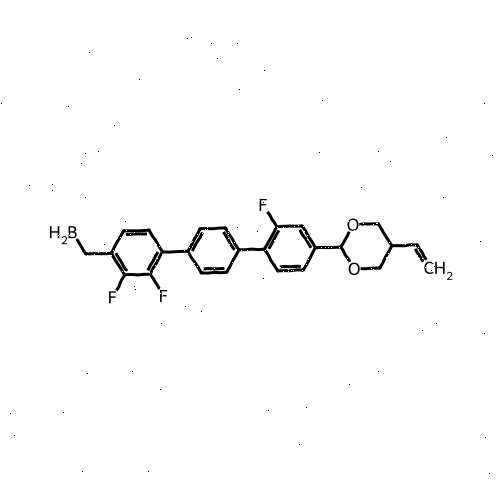 BCc1ccc(-c2ccc(-c3ccc(C4OCC(C=C)CO4)cc3F)cc2)c(F)c1F